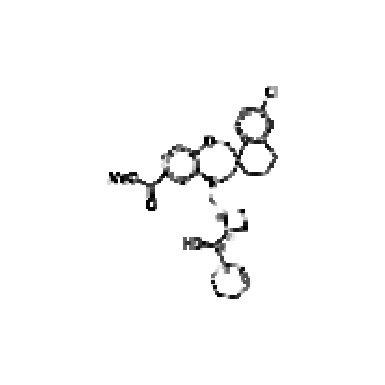 COC(=O)c1ccc2c(c1)N(C[C@@H]1CC[C@H]1[C@H](O)[C@@H]1C=CCCC1)CC1(CCCc3cc(Cl)ccc31)CO2